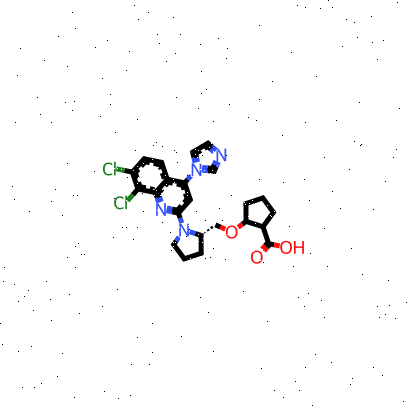 O=C(O)C1CCCC1OC[C@@H]1CCCN1c1cc(-n2ccnc2)c2ccc(Cl)c(Cl)c2n1